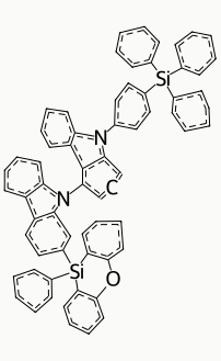 c1ccc([Si](c2ccccc2)(c2ccccc2)c2ccc(-n3c4ccccc4c4c(-n5c6ccccc6c6ccc([Si]7(c8ccccc8)c8ccccc8Oc8ccccc87)cc65)cccc43)cc2)cc1